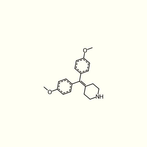 COc1ccc(C(=C2CCNCC2)c2ccc(OC)cc2)cc1